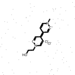 CN1[C+]=CC(=C2C=[C+]N(CCO)C=C2)C=C1.[Cl-].[Cl-]